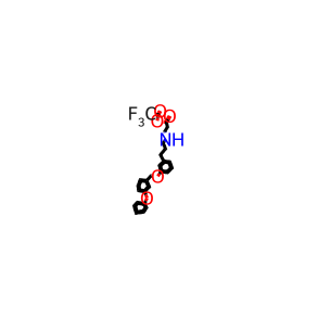 O=C(CCNCCCc1cccc(OCc2cccc(Oc3ccccc3)c2)c1)OC(=O)C(F)(F)F